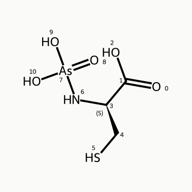 O=C(O)[C@@H](CS)N[As](=O)(O)O